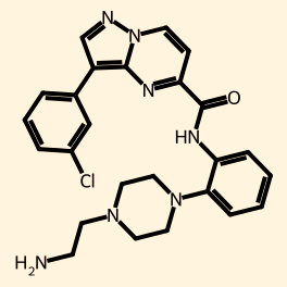 NCCN1CCN(c2ccccc2NC(=O)c2ccn3ncc(-c4cccc(Cl)c4)c3n2)CC1